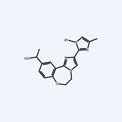 Cc1cn(C(C)C)c(-c2cn3c(n2)-c2cc(C(C)O)ccc2OCC3)n1